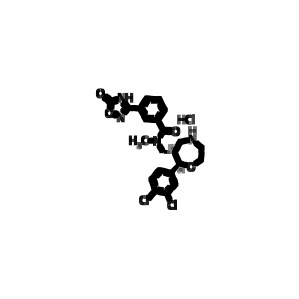 CN(C[C@@H]1CNCCO[C@H]1c1ccc(Cl)c(Cl)c1)C(=O)c1cccc(-c2noc(=O)[nH]2)c1.Cl